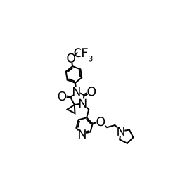 O=C1N(c2ccc(OC(F)(F)F)cc2)C(=O)C2(CC2)N1Cc1ccncc1OCCN1CCCC1